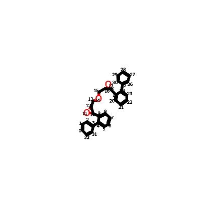 c1ccc(-c2ccccc2C2OC2COCC2OC2c2ccccc2-c2ccccc2)cc1